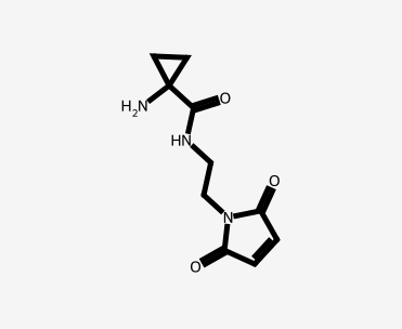 NC1(C(=O)NCCN2C(=O)C=CC2=O)CC1